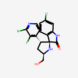 O=C1Nc2cc(Cl)ccc2[C@]12N[C@@H](CO)C[C@@H]2c1ccnc(Br)c1F